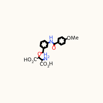 COc1ccc(C(=O)Nc2cccc(CO[C@H](C(=O)O)[C@H](N)C(=O)O)c2)cc1